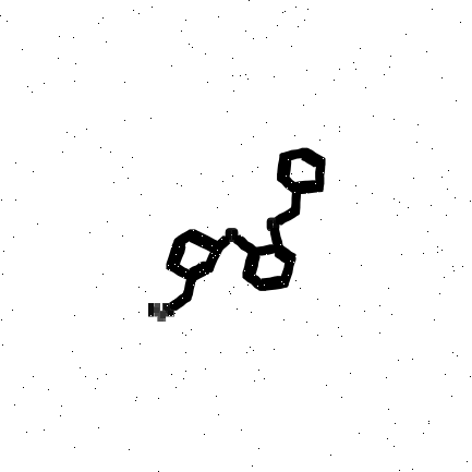 NCc1cccc(Oc2ccccc2OCc2ccccc2)c1